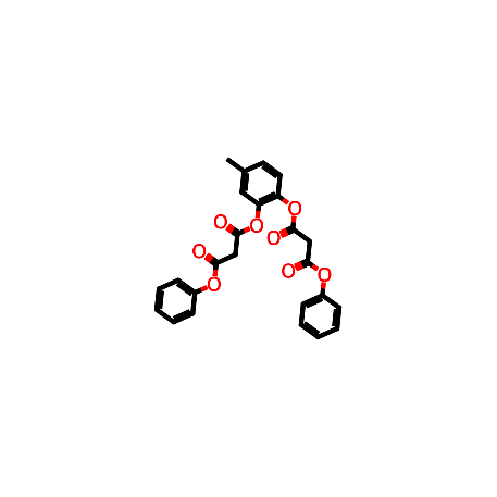 Cc1ccc(OC(=O)CC(=O)Oc2ccccc2)c(OC(=O)CC(=O)Oc2ccccc2)c1